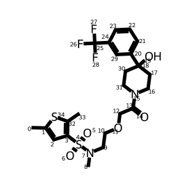 Cc1cc(S(=O)(=O)N(C)CCOCC(=O)N2CCC(O)(c3cccc(C(F)(F)F)c3)CC2)c(C)s1